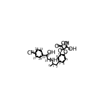 CC(Cc1ccc2c(c1)OC(C(=O)O)(C(=O)O)O2)NCC(O)c1ccc(Cl)cc1